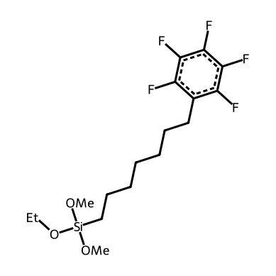 CCO[Si](CCCCCCCc1c(F)c(F)c(F)c(F)c1F)(OC)OC